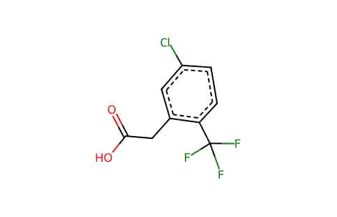 O=C(O)Cc1cc(Cl)ccc1C(F)(F)F